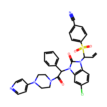 C=CC(n1c(=O)n(C(C(=O)N2CCN(c3ccncc3)CC2)c2ccccc2)c2cc(Cl)ccc21)S(=O)(=O)c1ccc(C#N)cc1